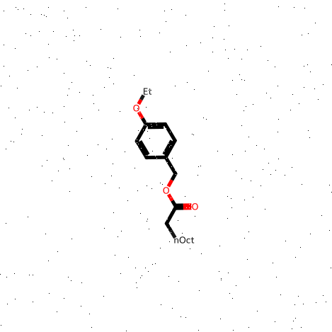 CCCCCCCCCC(=O)OCc1ccc(OCC)cc1